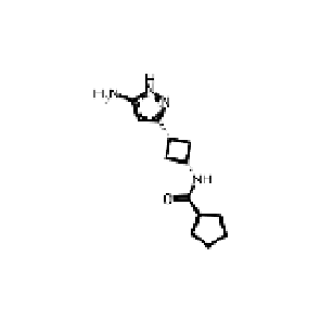 Nc1cc([C@H]2C[C@@H](NC(=O)C3CCCC3)C2)n[nH]1